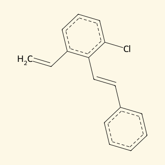 C=Cc1cccc(Cl)c1C=Cc1ccccc1